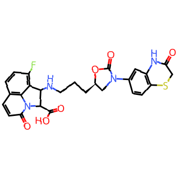 O=C1CSc2ccc(N3C[C@@H](CCCNC4c5c(F)ccc6ccc(=O)n(c56)C4C(=O)O)OC3=O)cc2N1